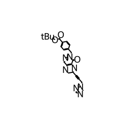 CC(C)(C)OC(=O)c1ccc(Cn2ncc3ncc(C#CCn4cncn4)nc3c2=O)cc1